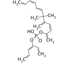 C=C/C=C\C=C\C(C)(C)C(=C)/C=C\C(=C)OP(=O)(O)O/C(C=C)=C/C=C